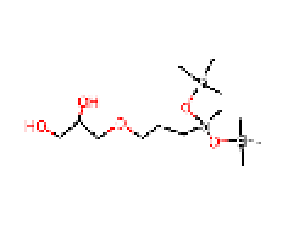 C[Si](C)(C)O[Si](C)(CCCOCC(O)CO)O[Si](C)(C)C